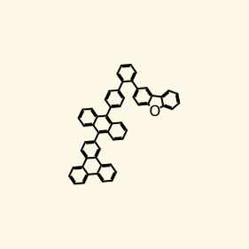 c1ccc(-c2ccc3oc4ccccc4c3c2)c(-c2ccc(-c3c4ccccc4c(-c4ccc5c6ccccc6c6ccccc6c5c4)c4ccccc34)cc2)c1